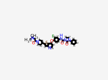 CN(C)CC(=O)N1CC=C(c2cc3nccc(Oc4ccc(NC(=O)N5CCN(c6ccccc6)C5=O)cc4F)c3s2)CC1